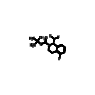 CC(C)(C)OC(=O)N1CCc2c(F)cccc2C1C(F)F